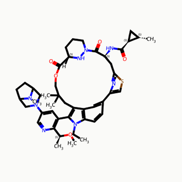 CCn1c(-c2cc(N3CC4CCC(C3)N4C)cnc2[C@H](C)OC)c2c3cc(ccc31)-c1csc(n1)C[C@H](NC(=O)[C@H]1C[C@@H]1C)C(=O)N1CCC[C@H](N1)C(=O)OCC(C)(C)C2